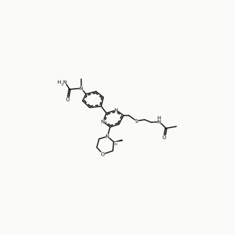 CC(=O)NCCSCc1cc(N2CCOC[C@@H]2C)nc(-c2ccc(N(C)C(N)=O)cc2)n1